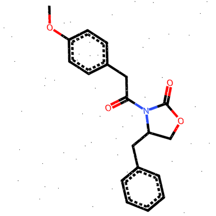 COc1ccc(CC(=O)N2C(=O)OCC2Cc2ccccc2)cc1